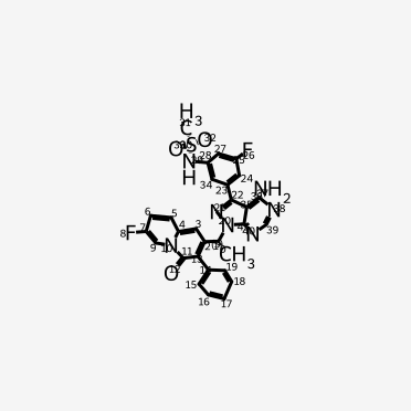 C[C@@H](c1cc2ccc(F)cn2c(=O)c1-c1ccccc1)n1nc(-c2cc(F)cc(NS(C)(=O)=O)c2)c2c(N)ncnc21